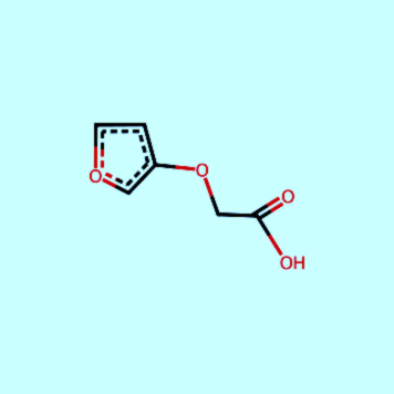 O=C(O)COc1ccoc1